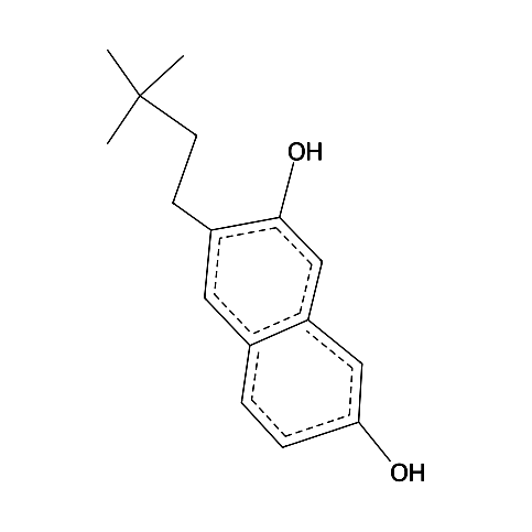 CC(C)(C)CCc1cc2ccc(O)cc2cc1O